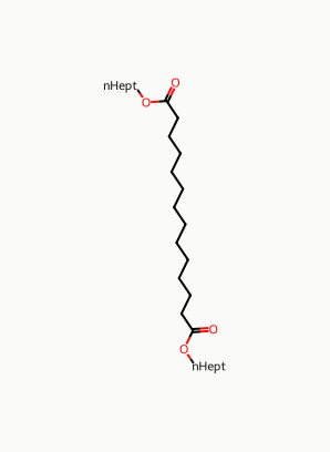 CCCCCCCOC(=O)CCCCCCCCCCCCC(=O)OCCCCCCC